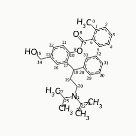 Cc1ccccc1C(=O)Oc1ccc(CO)cc1C(CCN(C(C)C)C(C)C)c1ccccc1